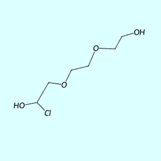 OCCOCCOCC(O)Cl